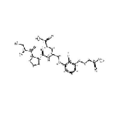 CC(C)C[C@H](N)C(=O)N1CCC[C@H]1C(=O)N[C@@H](CCC(N)=O)COc1cccc(CCCC(N)=O)c1Cl